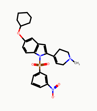 CN1CC=C(c2cc3cc(OC4CCCCC4)ccc3n2S(=O)(=O)c2cccc([N+](=O)[O-])c2)CC1